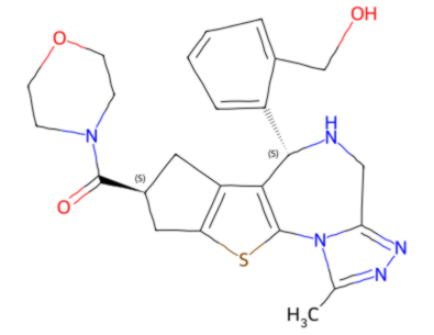 Cc1nnc2n1-c1sc3c(c1[C@H](c1ccccc1CO)NC2)C[C@H](C(=O)N1CCOCC1)C3